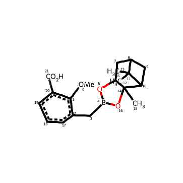 COc1c(CB2OC3CC4CC(C4(C)C)C3(C)O2)cccc1C(=O)O